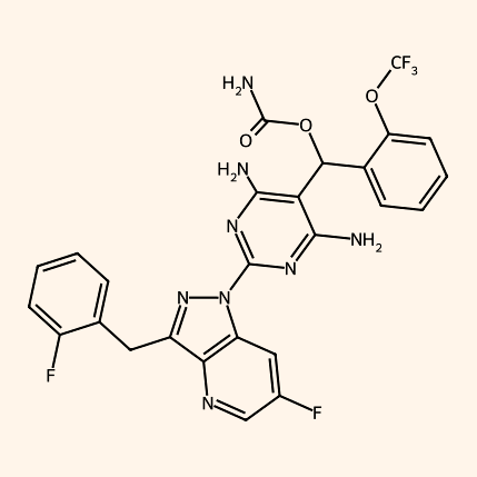 NC(=O)OC(c1ccccc1OC(F)(F)F)c1c(N)nc(-n2nc(Cc3ccccc3F)c3ncc(F)cc32)nc1N